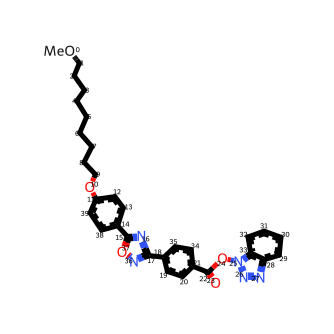 COCCCCCCCCCOc1ccc(-c2nc(-c3ccc(C(=O)On4nnc5ccccc54)cc3)no2)cc1